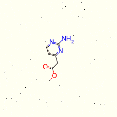 COC(=O)Cc1ccnc(N)n1